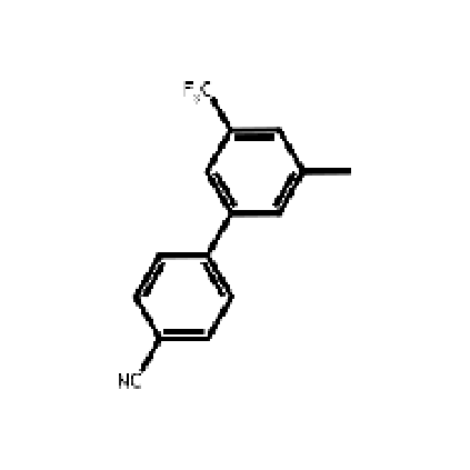 Cc1cc(-c2ccc(C#N)cc2)cc(C(F)(F)F)c1